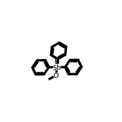 C[O][SbH]([c]1ccccc1)([c]1ccccc1)[c]1ccccc1